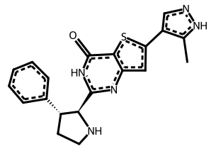 Cc1[nH]ncc1-c1cc2nc([C@H]3NCC[C@@H]3c3ccccc3)[nH]c(=O)c2s1